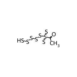 CC(=O)S(=S)(=S)SSSSS